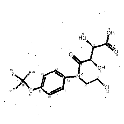 O=C(O)[C@H](O)[C@@H](O)C(=O)N(CCCl)c1ccc(OC(F)(F)F)cc1